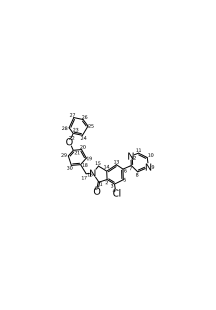 O=C1c2c(Cl)cc(-c3cnccn3)cc2CN1Cc1ccc(Oc2ccccc2)cc1